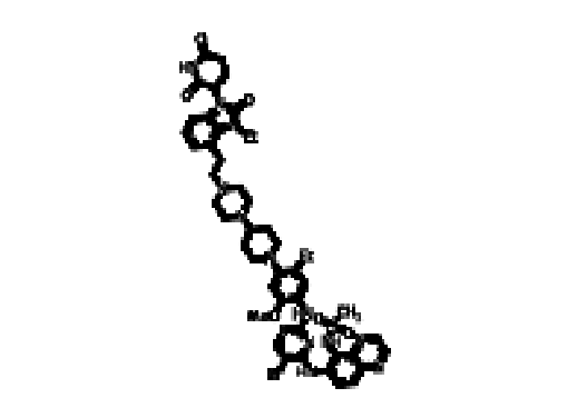 CCc1cc(Nc2ncc(Br)c(Nc3ccc4nccnc4c3NS(C)(=O)=O)n2)c(OC)cc1N1CCC(N2CCN(CCc3cccc4c3n(CC)c(=O)n4C3CCC(=O)NC3=O)CC2)CC1